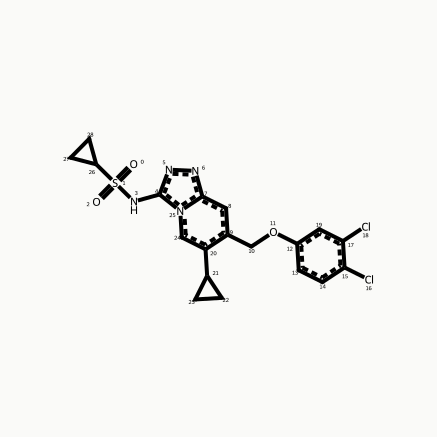 O=S(=O)(Nc1nnc2cc(COc3ccc(Cl)c(Cl)c3)c(C3CC3)cn12)C1CC1